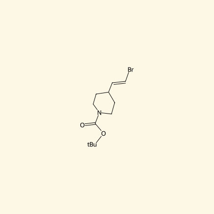 CC(C)(C)OC(=O)N1CCC(C=CBr)CC1